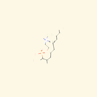 CCCCCCCCCCCCCCCC[CH]C(C(=O)O)C(C)P(=O)(O)OCC[N+](C)(C)C